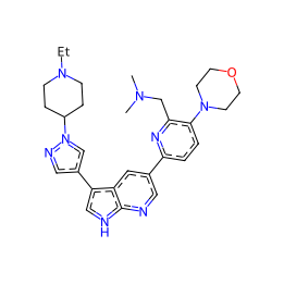 CCN1CCC(n2cc(-c3c[nH]c4ncc(-c5ccc(N6CCOCC6)c(CN(C)C)n5)cc34)cn2)CC1